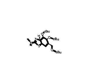 CCCCOC[C@H]1CC2SC(N(C)C)=N[C@@H]2[C@@H](OCCCC)[C@@H]1OCCCC